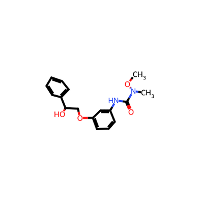 CON(C)C(=O)Nc1cccc(OCC(O)c2ccccc2)c1